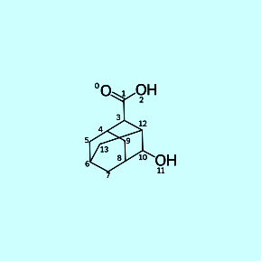 O=C(O)C1C2CC3CC(C2)C(O)C1C3